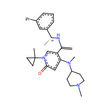 C=C(N[C@H](C)c1cccc(C(C)C)c1)c1cn(C2(C)CC2)c(=O)cc1N(C)C1CCN(C)CC1